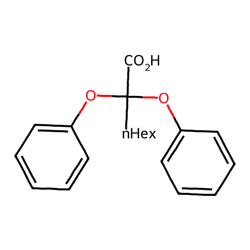 CCCCCCC(Oc1ccccc1)(Oc1ccccc1)C(=O)O